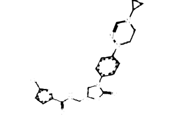 O=C(NC[C@H]1CN(c2ccc(N3CCN(C4CC4)C=N3)cc2)C(=O)O1)c1ccc(Cl)s1